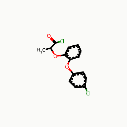 CC(Oc1ccccc1Oc1ccc(Cl)cc1)C(=O)Cl